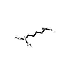 CO[SiH](C)CCCOBP